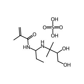 C=C(C)C(=O)NC(CC)NC(C)(C)C(O)CO.O=S(=O)(O)O